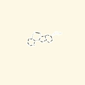 O=C(O)c1ccc2cc3n(c2c1)C=CCc1cccnc1-3